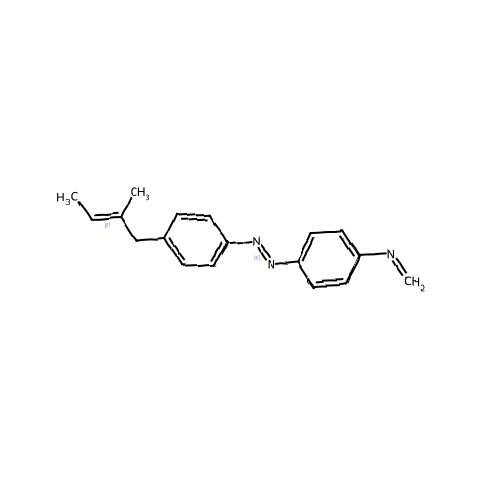 C=Nc1ccc(/N=N/c2ccc(C/C(C)=C/C)cc2)cc1